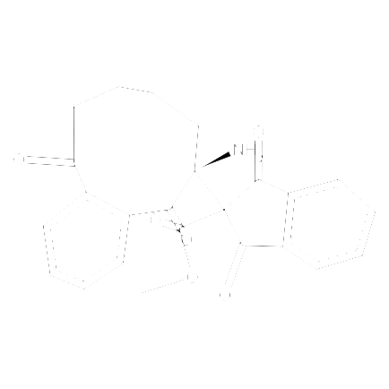 COC(=O)C1([C@@]2(N)CCCCC(=O)c3ccccc3C2=O)C(=O)c2ccccc2C1=O